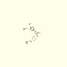 C[C@H](N)c1oc(-c2ccc(OC(F)F)c(OCC3CC3)c2)nc1C(=O)N1CCN(C(=O)CC2CC2)CC1